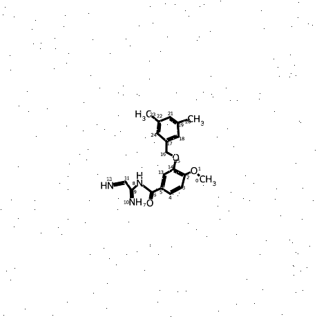 COc1ccc(C(=O)NC(=N)C=N)cc1OCc1cc(C)cc(C)c1